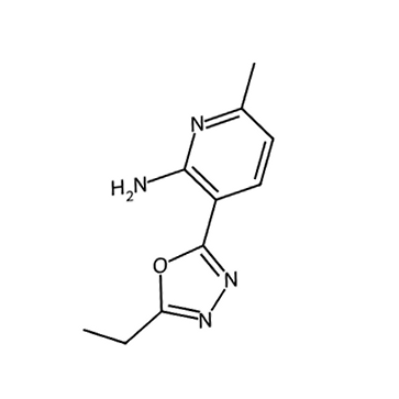 CCc1nnc(-c2ccc(C)nc2N)o1